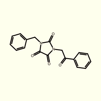 O=C(CN1C(=O)C(=O)N(Cc2ccccc2)C1=O)c1ccccc1